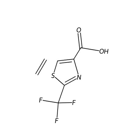 C=C.O=C(O)c1csc(C(F)(F)F)n1